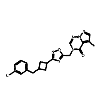 Cc1cnn2ncn(Cc3nc(C4CC(Cc5cccc(Cl)c5)C4)no3)c(=O)c12